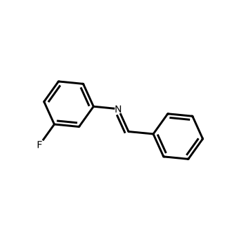 Fc1cccc(N=Cc2ccccc2)c1